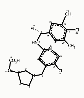 CC[C@@H](Nc1cc(CN2CC[C@@H](OC(=O)O)C2)c(Cl)cn1)c1cc(C)c(Cl)c(C)c1